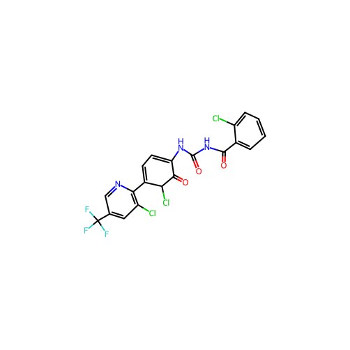 O=C(NC(=O)c1ccccc1Cl)NC1=CC=C(c2ncc(C(F)(F)F)cc2Cl)C(Cl)C1=O